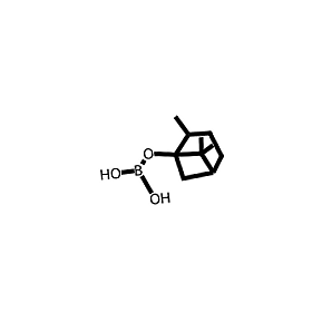 CC1CCC2CC1(OB(O)O)C2(C)C